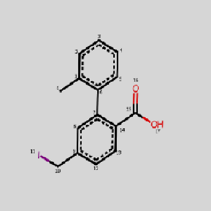 Cc1ccccc1-c1cc(CI)ccc1C(=O)O